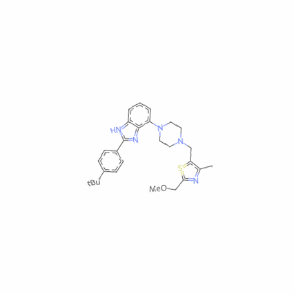 COCc1nc(C)c(CN2CCN(c3cccc4[nH]c(-c5ccc(C(C)(C)C)cc5)nc34)CC2)s1